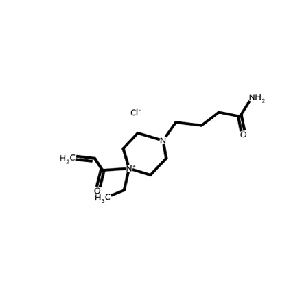 C=CC(=O)[N+]1(CC)CCN(CCCC(N)=O)CC1.[Cl-]